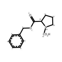 O=C(OCc1ccccc1)C1CCCN1C(=O)O